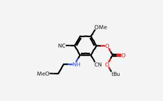 COCCNc1c(C#N)cc(OC)c(OC(=O)OC(C)(C)C)c1C#N